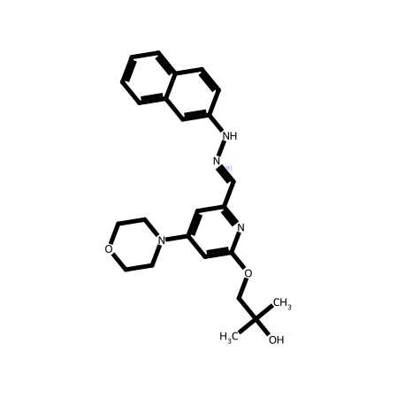 CC(C)(O)COc1cc(N2CCOCC2)cc(/C=N/Nc2ccc3ccccc3c2)n1